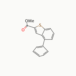 COC(=O)c1cc2c(-c3ccccc3)cccc2s1